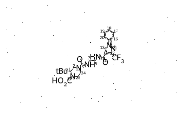 CC(C)(C)C1CN(C(=O)NCCNC(=O)c2cn(-c3ccccc3)nc2C(F)(F)F)CCN1C(=O)O